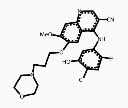 COc1cc2ncc(C#N)c(Nc3cc(O)c(Cl)cc3F)c2cc1OCCCN1CCOCC1